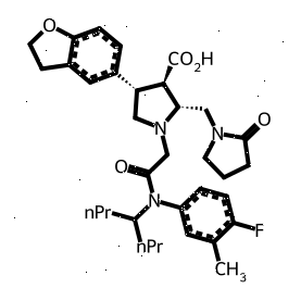 CCCC(CCC)N(C(=O)CN1C[C@H](c2ccc3c(c2)CCO3)[C@@H](C(=O)O)[C@@H]1CN1CCCC1=O)c1ccc(F)c(C)c1